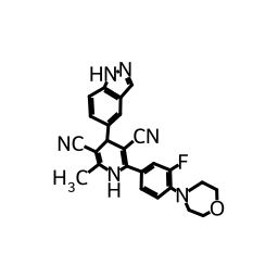 CC1=C(C#N)C(c2ccc3[nH]ncc3c2)C(C#N)=C(c2ccc(N3CCOCC3)c(F)c2)N1